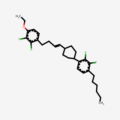 CCCCCCc1ccc(C2CCC(/C=C/CCc3ccc(OCC)c(F)c3F)CC2)c(F)c1F